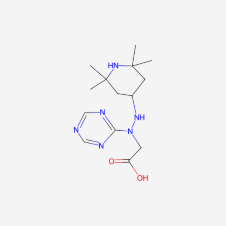 CC1(C)CC(NN(CC(=O)O)c2ncncn2)CC(C)(C)N1